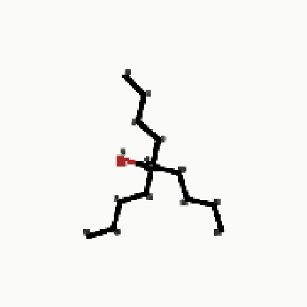 CCC[CH2][Ge]([Br])([CH2]CCC)[CH2]CCC